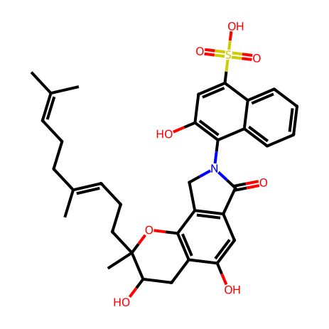 CC(C)=CCC/C(C)=C/CCC1(C)Oc2c(c(O)cc3c2CN(c2c(O)cc(S(=O)(=O)O)c4ccccc24)C3=O)CC1O